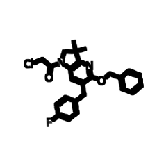 CC1(C)CN(C(=O)CCl)c2cc(Cc3ccc(F)cc3)c(OCc3ccccc3)nc21